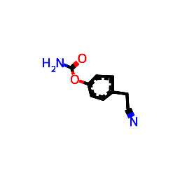 N#CCc1ccc(OC(N)=O)cc1